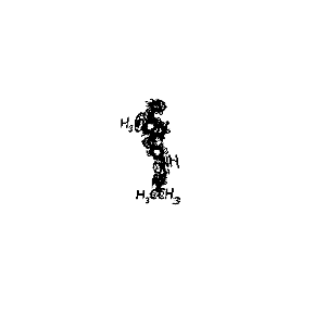 COc1cc2c(Oc3ccc(NC(=O)Cn4cc(C(C)C)nn4)cc3)ncnc2cc1O[C@H]1CCOC1